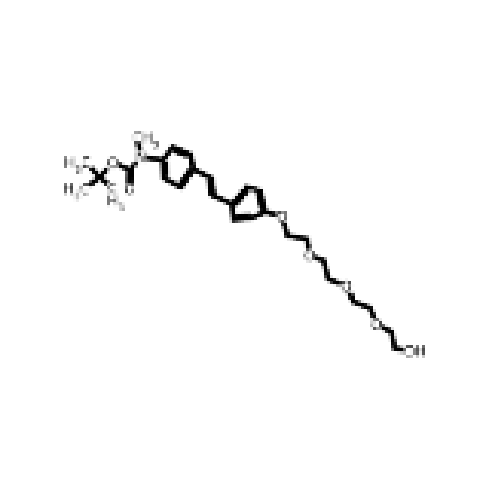 CN(C(=O)OC(C)(C)C)c1ccc(C=Cc2ccc(OCCOCCOCCOCCO)cc2)cc1